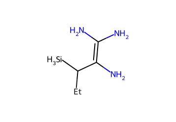 CCC([SiH3])C(N)=C(N)N